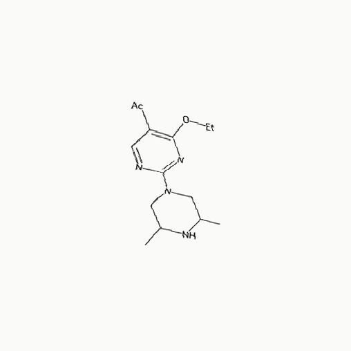 CCOc1nc(N2CC(C)NC(C)C2)ncc1C(C)=O